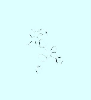 CC1(C)C2=C(CCC=C2N(C2CC=C(C3(C4=CCCC=C4)c4ccccc4C4CCC=CC43)CC2)C2CCC(C3=CC=CCC3)CC2)c2ccccc21